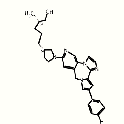 C[C@H](CO)CCC[C@H]1CCN(c2cc3c(cn2)-n2ccnc2-c2cc(-c4ccc(F)cc4)cn2C3)C1